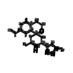 C=Cc1ccc2c(c1)C1(CC(C)NC(c3cn(C)nn3)C1)OCC2